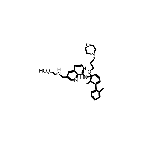 Cc1ccccc1C1=CC=CC(Nc2nccc3cc(CNCC(=O)O)cnc23)(OCCCN2CCOCC2)C1C